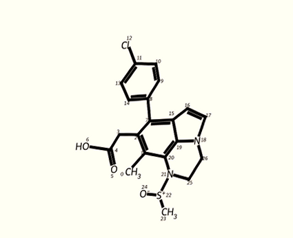 Cc1c(CC(=O)O)c(-c2ccc(Cl)cc2)c2ccn3c2c1N([S+](C)[O-])CC3